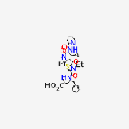 CCO[C@H](C[C@H](C(C)C)N(C)C(=O)C(CC1CC1)NC(=O)C1CCCCN1C)c1nc(C(=O)N[C@@H](Cc2ccccc2)C[C@H](C)C(=O)O)cs1